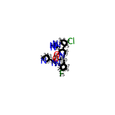 O=c1cc(-c2cc(Cl)ccc2-n2cnnn2)ccn1[C@H](Cc1ccc(F)cc1)c1nnc(-c2cccnc2)o1